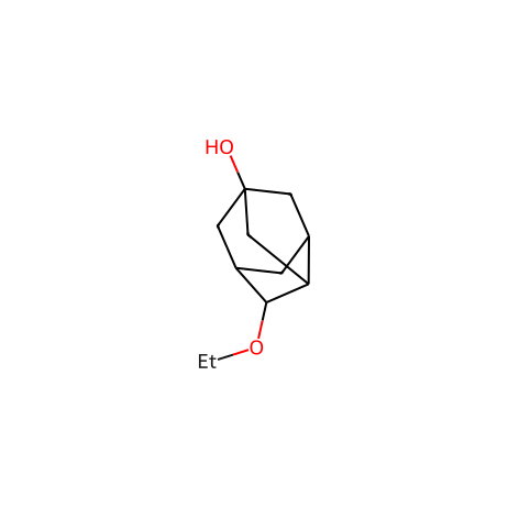 CCOC1C2CC3CC(O)(C2)CC31